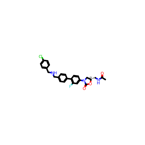 CC(=O)NC[C@H]1CN(c2ccc(-c3ccc(CNCc4ccc(Cl)cc4)cc3)c(F)c2)C(=O)O1